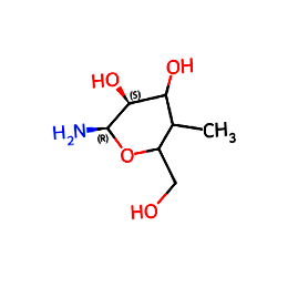 CC1C(CO)O[C@@H](N)[C@@H](O)C1O